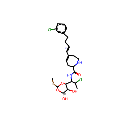 CSC1OC(C(NC(=O)C2CC=C(/C=C/CCc3cccc(Cl)c3)CCN2)C(C)Cl)C(O)[C@H](O)O1